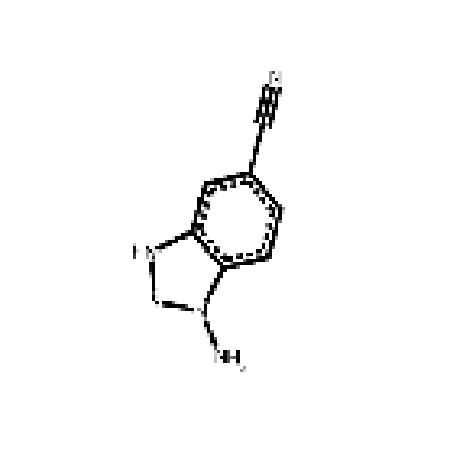 N#Cc1ccc2c(c1)NSN2N